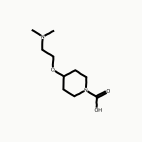 CN(C)CCOC1CCN(C(=O)O)CC1